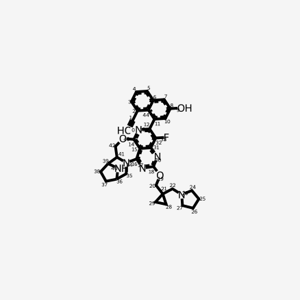 C#Cc1cccc2cc(O)cc(-c3nc4c5c(nc(OCC6(CN7CCCC7)CC6)nc5c3F)N3CC5CCC(N5)C3CO4)c12